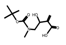 C=C(C(=O)O)C(O)CN(C)C(=O)OC(C)(C)C